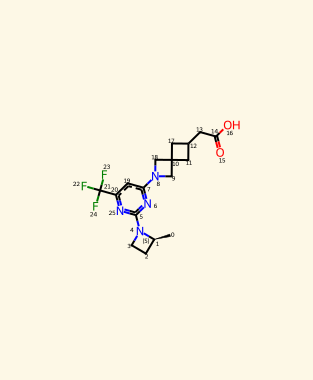 C[C@H]1CCN1c1nc(N2CC3(CC(CC(=O)O)C3)C2)cc(C(F)(F)F)n1